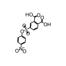 O=C(O)c1ccc(S(=O)(=O)Oc2ccc([N+](=O)[O-])cc2)cc1C(=O)O